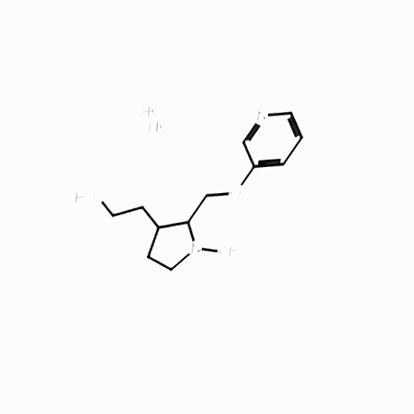 CCCC1CCN(C)C1COc1cccnc1.Cl.Cl